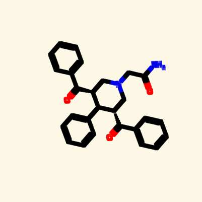 NC(=O)CN1C[C@H](C(=O)c2ccccc2)C(c2ccccc2)[C@@H](C(=O)c2ccccc2)C1